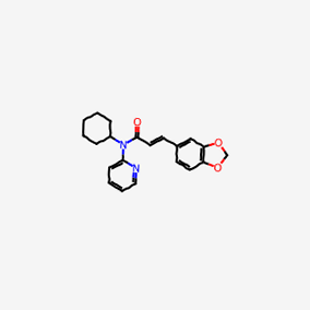 O=C(/C=C/c1ccc2c(c1)OCO2)N(c1ccccn1)C1CCCCC1